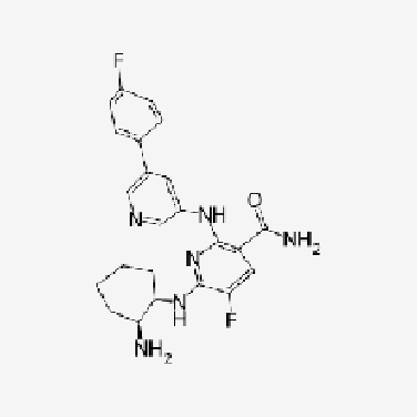 NC(=O)c1cc(F)c(N[C@@H]2CCCC[C@@H]2N)nc1Nc1cncc(-c2ccc(F)cc2)c1